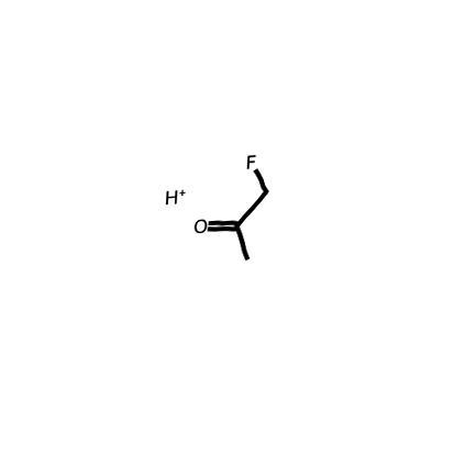 CC(=O)CF.[H+]